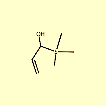 C=CC(O)S(C)(C)C